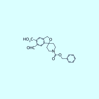 O=Cc1cc2c(cc1C(=O)O)COC21CCN(C(=O)OCc2ccccc2)CC1